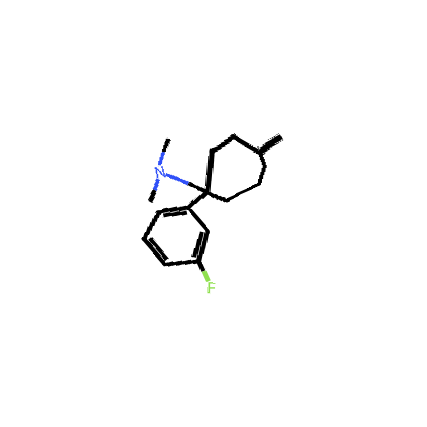 C[C]1CCC(c2cccc(F)c2)(N(C)C)CC1